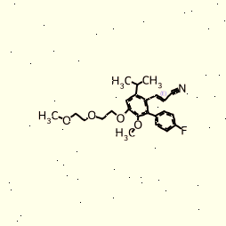 COCCOCCOc1cc(C(C)C)c(/C=C/C#N)c(-c2ccc(F)cc2)c1OC